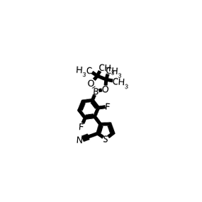 CC1(C)OB(c2ccc(F)c(-c3ccsc3C#N)c2F)OC1(C)C